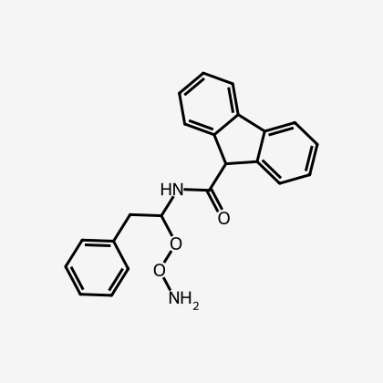 NOOC(Cc1ccccc1)NC(=O)C1c2ccccc2-c2ccccc21